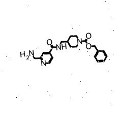 NCc1cc(C(=O)NCC2CCN(C(=O)OCc3ccccc3)CC2)ccn1